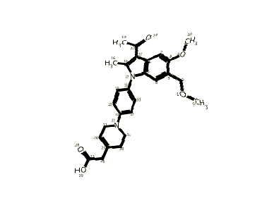 COCc1cc2c(cc1OC)c(C(C)=O)c(C)n2-c1ccc(N2CC=C(CC(=O)O)CC2)cc1